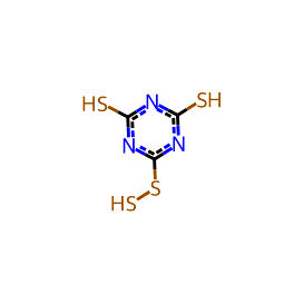 SSc1nc(S)nc(S)n1